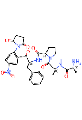 C[C@H](N)C(=O)N[C@@H](C)C(=O)N1CCC[C@H]1C(=O)N[C@@H](Cc1ccccc1)C(=O)c1cc([N+](=O)[O-])ccc1N1C(=O)CCC1=O